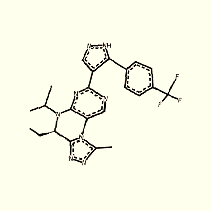 CC[C@@H]1c2nnc(C)n2-c2cnc(-c3cn[nH]c3-c3ccc(C(F)(F)F)cc3)nc2N1C(C)C